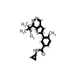 Cc1ccc(C(=O)NC2CC2)cc1-c1cc2cnnc(C(C)(C)C)c2s1